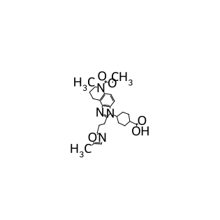 COC(=O)N1c2ccc3c(nc(CCc4ncc(C)o4)n3C3CCC(C(=O)O)CC3)c2CCC1C